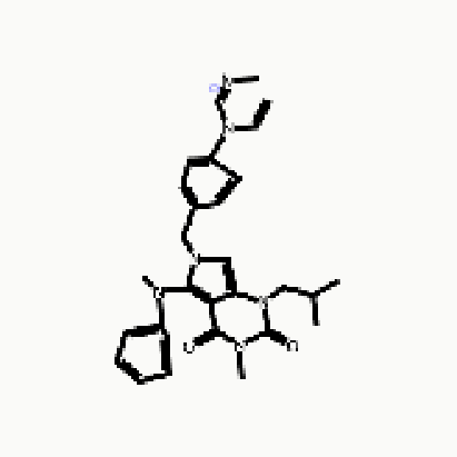 C=CN(/C=N\C)c1ccc(Cn2cc3c(c2N(C)c2ccccc2)c(=O)n(C)c(=O)n3CC(C)C)cc1